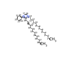 CCCCCCCCCCCCCCCN1C=CN(c2ccccc2)C1CCCCCCCCCCCCCC